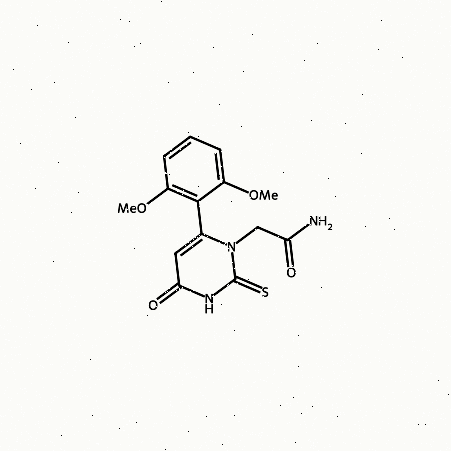 COc1cccc(OC)c1-c1cc(=O)[nH]c(=S)n1CC(N)=O